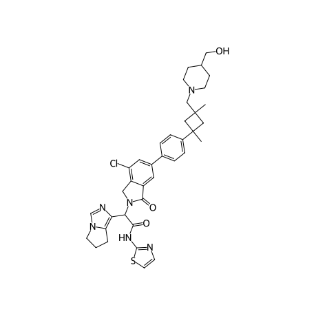 CC1(CN2CCC(CO)CC2)CC(C)(c2ccc(-c3cc(Cl)c4c(c3)C(=O)N(C(C(=O)Nc3nccs3)c3ncn5c3CCC5)C4)cc2)C1